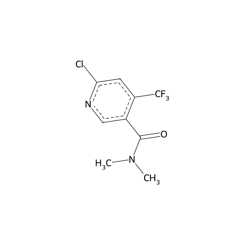 CN(C)C(=O)c1cnc(Cl)cc1C(F)(F)F